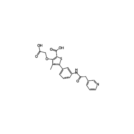 Cc1c(-c2cccc(NC(=O)Cc3cccnc3)c2)sc(C(=O)O)c1OCC(=O)O